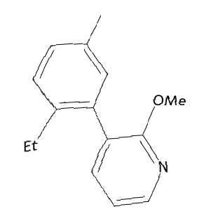 CCc1ccc(C)cc1-c1cccnc1OC